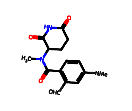 CNc1ccc(C(=O)N(C)C2CCC(=O)NC2=O)c(C=O)c1